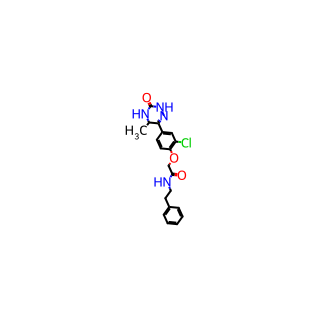 CC1NC(=O)NN=C1c1ccc(OCC(=O)NCCc2ccccc2)c(Cl)c1